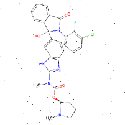 CN(C(=O)O[C@H]1CCCN1C)c1nc2ccc(C3(O)c4ccccc4C(=O)N3c3cccc(Cl)c3F)cc2[nH]1